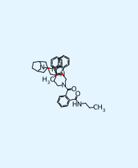 CCCNC(=O)c1ccccc1C(=O)N1CCC(CCN2C3CCC2CC(n2c(C)nc4ccccc42)C3)(c2ccccc2)CC1